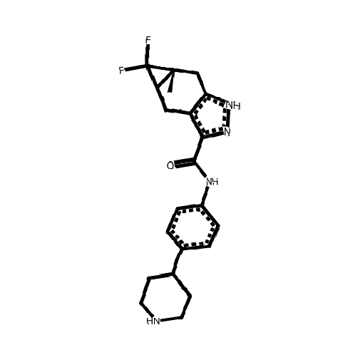 C[C@@]12Cc3[nH]nc(C(=O)Nc4ccc(C5CCNCC5)cc4)c3CC1C2(F)F